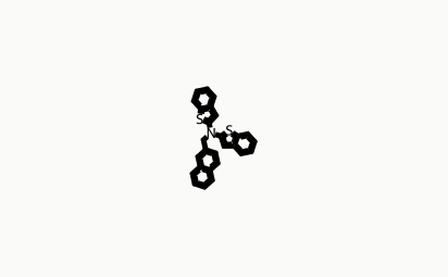 c1ccc2cc(CN(c3cc4ccccc4s3)c3cc4ccccc4s3)ccc2c1